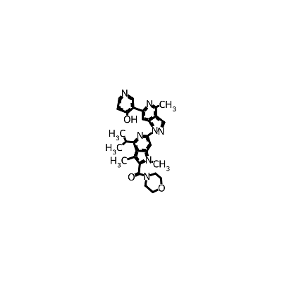 Cc1nc(-c2cnccc2O)cc2c1cnn2-c1cc2c(c(C(C)C)n1)c(C)c(C(=O)N1CCOCC1)n2C